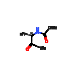 CCC[C@H](NC(=O)OC)C(=O)C(C)(C)C